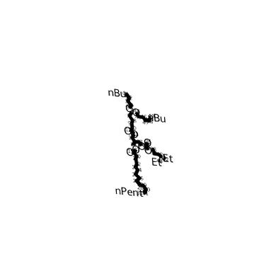 CCCC/C=C\CCOC(CCCCC(=O)OCC(COC(=O)CCCCCCC/C=C\C/C=C\CCCCC)COC(=O)OCCCN(CC)CC)OCC/C=C\CCCC